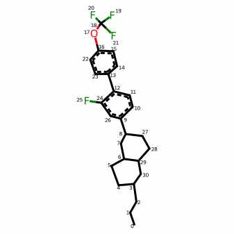 CCCC1CCC2CC(c3ccc(-c4ccc(OC(F)(F)F)cc4)c(F)c3)CCC2C1